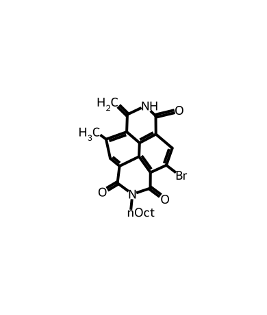 C=c1[nH]c(=O)c2cc(Br)c3c4c(cc(C)c1c42)C(=O)N(CCCCCCCC)C3=O